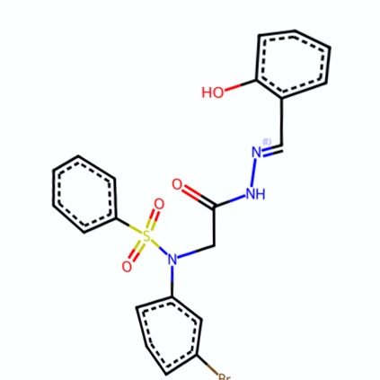 O=C(CN(c1cccc(Br)c1)S(=O)(=O)c1ccccc1)N/N=C/c1ccccc1O